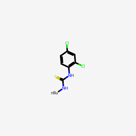 CCCCNC(=S)Nc1ccc(Cl)cc1Cl